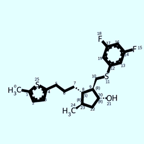 Cc1ccc(CCC[C@@H]2[C@@H](CSc3cc(F)cc(F)c3)[C@H](O)C[C@H]2C)s1